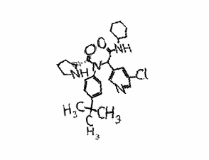 CC(C)(C)c1ccc(N(C(=O)[C@H]2CCCN2)C(C(=O)NC2CCCCC2)c2cncc(Cl)c2)cc1